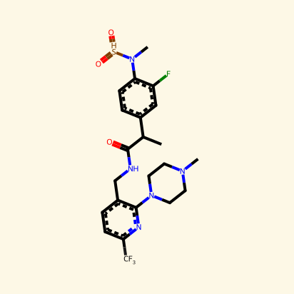 CC(C(=O)NCc1ccc(C(F)(F)F)nc1N1CCN(C)CC1)c1ccc(N(C)[SH](=O)=O)c(F)c1